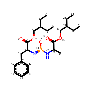 CCC(CC)COC(=O)C(Cc1ccccc1)/N=[P+](\[O-])NC(C)C(=O)OCC(CC)CC